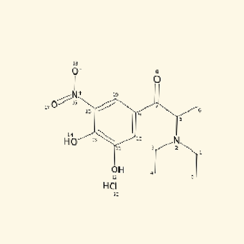 CCN(CC)C(C)C(=O)c1cc(O)c(O)c([N+](=O)[O-])c1.Cl